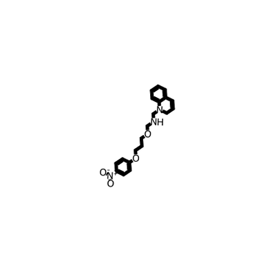 O=[N+]([O-])c1ccc(OCCCOCNCN2CC=Cc3ccccc32)cc1